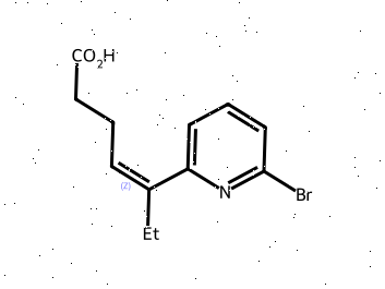 CC/C(=C/CCC(=O)O)c1cccc(Br)n1